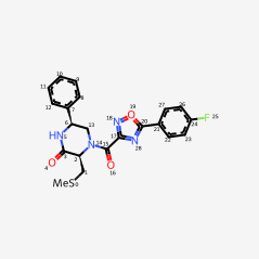 CSC[C@H]1C(=O)N[C@@H](c2ccccc2)CN1C(=O)c1noc(-c2ccc(F)cc2)n1